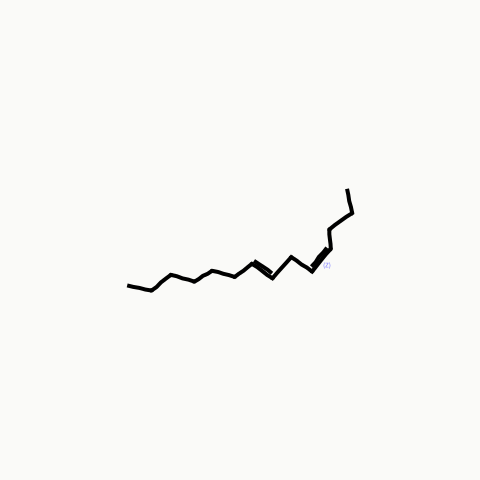 CCC/C=C\CC=CCCCCCC